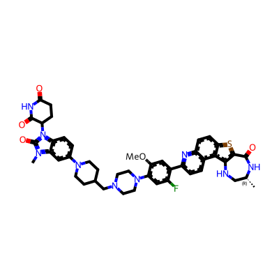 COc1cc(-c2ccc3c(ccc4sc5c(c43)NC[C@@H](C)NC5=O)n2)c(F)cc1N1CCN(CC2CCN(c3ccc4c(c3)n(C)c(=O)n4C3CCC(=O)NC3=O)CC2)CC1